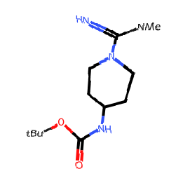 CNC(=N)N1CCC(NC(=O)OC(C)(C)C)CC1